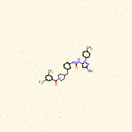 Cc1ccc(-n2nc(C(C)(C)C)cc2NC(=O)Nc2cccc(CC3CCN(C(=O)c4cc(C(F)(F)F)cc(C(F)(F)F)c4)CC3)c2)cc1